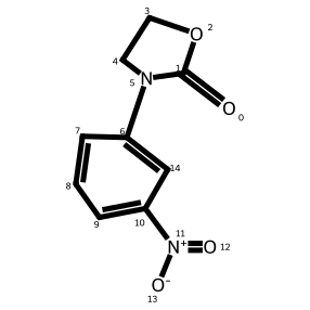 O=C1OCCN1c1cccc([N+](=O)[O-])c1